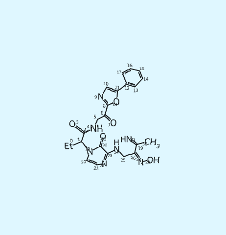 CCC(C(=O)NCC(=O)c1ncc(-c2ccccc2)o1)n1ccnc(NC/C(=N/O)C(C)=N)c1=O